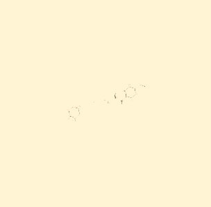 C=Cc1ccc(C(=O)C(=O)OCCCCCc2cccc(C)c2)cc1